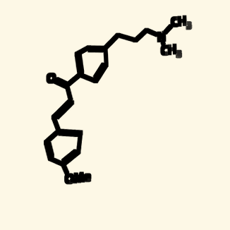 COc1ccc(C=CC(=O)c2ccc(CCCN(C)C)cc2)cc1